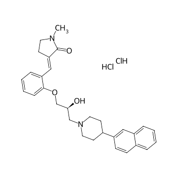 CN1CCC(=Cc2ccccc2OC[C@@H](O)CN2CCC(c3ccc4ccccc4c3)CC2)C1=O.Cl.Cl